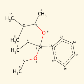 CCO[Si](CC)(OC(C)C(C)C)c1ccccc1